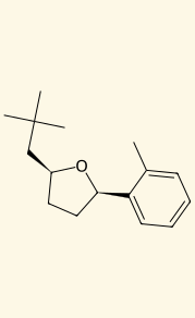 Cc1ccccc1[C@H]1CC[C@@H](CC(C)(C)C)O1